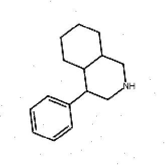 c1ccc(C2CNCC3CCCCC32)cc1